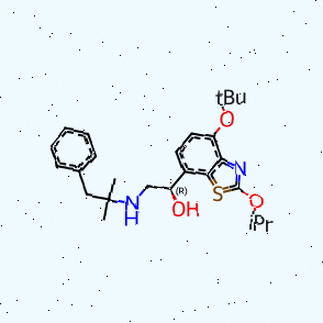 CC(C)Oc1nc2c(OC(C)(C)C)ccc([C@@H](O)CNC(C)(C)Cc3ccccc3)c2s1